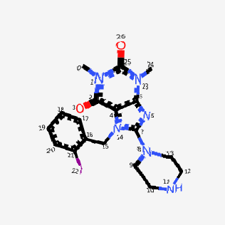 Cn1c(=O)c2c(nc(N3CCNCC3)n2Cc2ccccc2I)n(C)c1=O